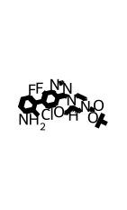 Cc1c(N)ccc(F)c1-c1c(Cl)c2c3c(ncnc3c1F)N1CCN(C(=O)OC(C)(C)C)C[C@H]1CO2